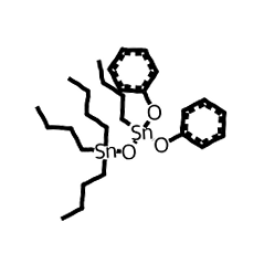 CCC[CH2][Sn]([CH2]CCC)([CH2]CCC)[O][Sn]([CH2]CCC)([O]c1ccccc1)[O]c1ccccc1